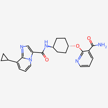 NC(=O)c1cccnc1O[C@H]1CC[C@H](NC(=O)c2cnc3c(C4CC4)cccn23)CC1